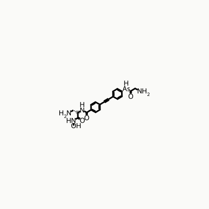 NCC(=O)[AsH]c1ccc(C#Cc2ccc(C(=O)N[C@@H](CN)C(=O)NO)cc2)cc1